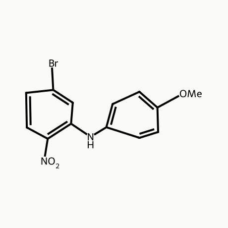 COc1ccc(Nc2cc(Br)ccc2[N+](=O)[O-])cc1